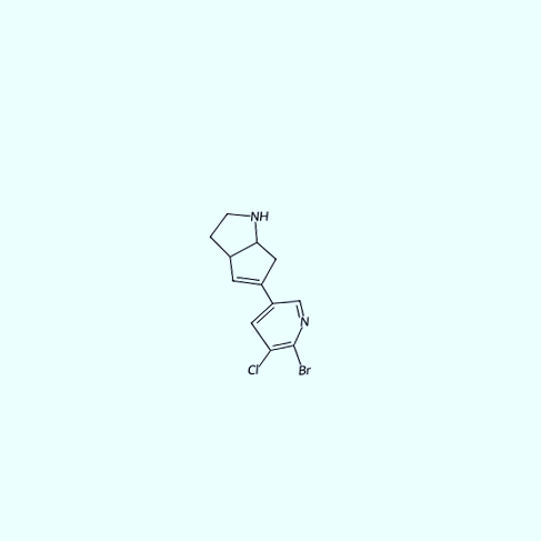 Clc1cc(C2=CC3CCNC3C2)cnc1Br